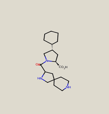 O=C(O)[C@@H]1C[C@@H](C2CCCCC2)CN1C(=O)C1CC2(CCNCC2)CN1